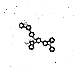 CC1(C)c2ccccc2-c2c1n(-c1ccc(-c3ccc4oc5ccccc5c4c3)cc1)c1ccc(-c3ccc4c(c3)c3ccccc3n4-c3ccccc3)cc21